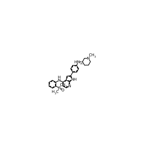 CN1CCC[C@@H](Nc2ccc(-c3cc4c(Nc5ccccc5P(C)(C)=O)ccnc4[nH]3)cc2)C1